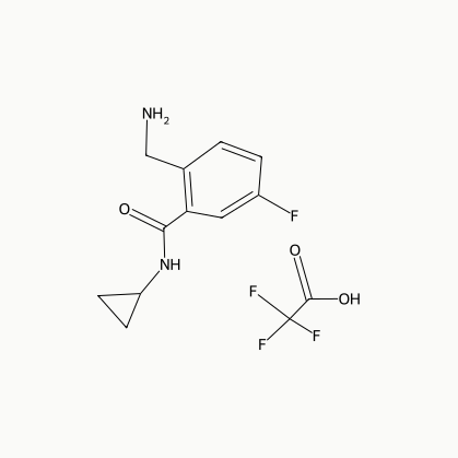 NCc1ccc(F)cc1C(=O)NC1CC1.O=C(O)C(F)(F)F